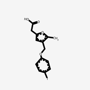 Cc1oc(CC(=O)O)cc1COc1ccc(I)cc1